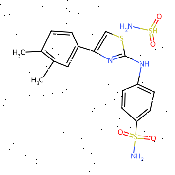 Cc1ccc(-c2csc(Nc3ccc(S(N)(=O)=O)cc3)n2)cc1C.N[SH](=O)=O